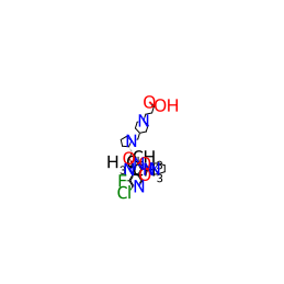 CC(C)(C)OC(=O)N1C2CCC1CN(c1nc(OC[C@@H]3CCCN3CC3CCN(CCC(=O)O)CC3)nc3c(F)c(Cl)ncc13)C2